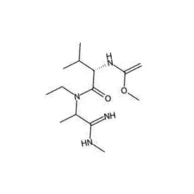 C=C(N[C@H](C(=O)N(CC)C(C)C(=N)NC)C(C)C)OC